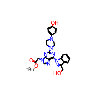 CC(C)(C)OC(=O)Cn1cnc2c(-n3nc(CO)c4ccccc43)nc(N3CCN(c4ccc(O)cc4)CC3)nc21